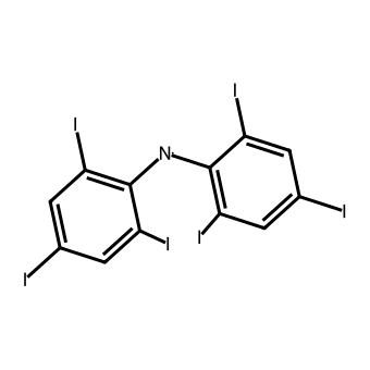 Ic1cc(I)c([N]c2c(I)cc(I)cc2I)c(I)c1